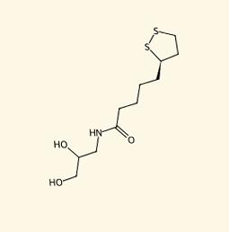 O=C(CCCC[C@@H]1CCSS1)NCC(O)CO